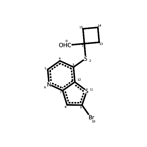 O=CC1(Sc2ccnc3cc(Br)sc23)CCC1